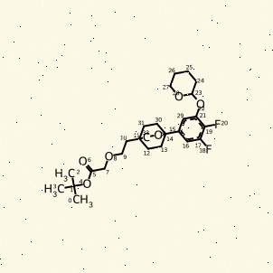 CC(C)(C)OC(=O)COCCC12CCC(c3cc(F)c(F)c(OC4CCCCO4)c3)(CC1)OC2